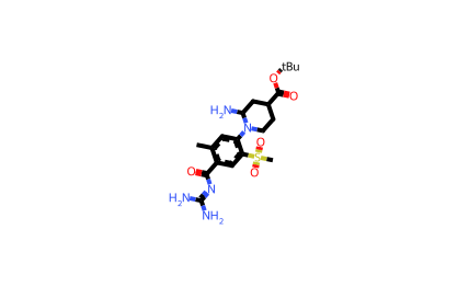 Cc1cc(N2CCC(C(=O)OC(C)(C)C)CC2N)c(S(C)(=O)=O)cc1C(=O)N=C(N)N